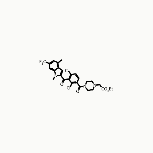 CCOC(=O)CN1CCN(C(=O)c2ccc(Cl)c(C(=O)c3cc4c(C)cc(C(F)(F)F)cc4n3C)c2Cl)CC1